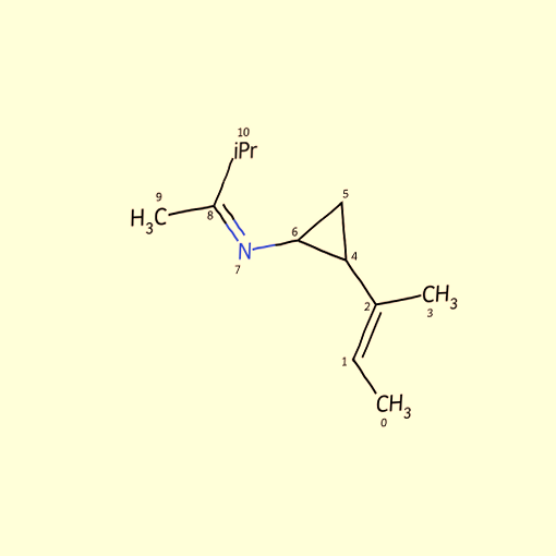 C/C=C(\C)C1CC1/N=C(/C)C(C)C